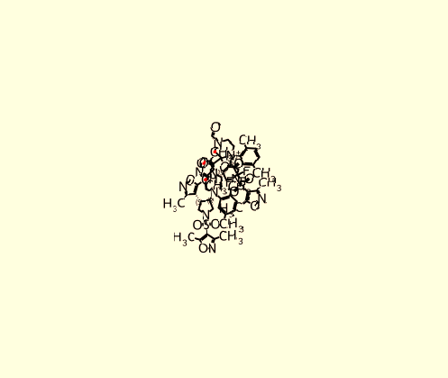 Cc1ccc(C)c([N+]2([C@H]3CN(S(=O)(=O)c4c(C)noc4C)C[C@@H]3c3c(C)noc3C)CCN(C(=O)C3(OC(=O)C(F)(F)F)CN(C=O)CC[N@+]3(c3cc(C)ccc3C)[C@H]3CN(S(=O)(=O)c4c(C)noc4C)C[C@@H]3c3c(C)noc3C)CC2)c1